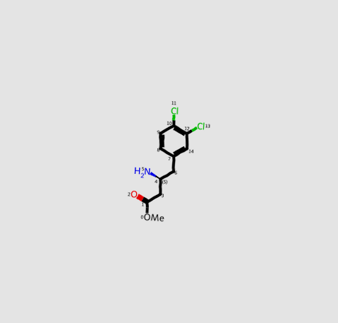 COC(=O)C[C@@H](N)Cc1ccc(Cl)c(Cl)c1